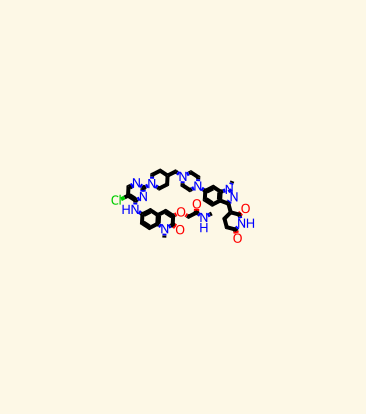 CNC(=O)COc1cc2cc(Nc3nc(N4CCC(CN5CCN(c6ccc7c(C8CCC(=O)NC8=O)nn(C)c7c6)CC5)CC4)ncc3Cl)ccc2n(C)c1=O